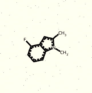 Cc1cc2c(F)cccc2n1C